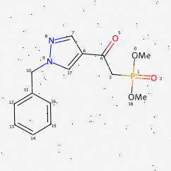 COP(=O)(CC(=O)c1cnn(Cc2ccccc2)c1)OC